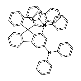 c1ccc(N(c2ccccc2)c2cc3c(c(N(c4ccccc4)c4ccccc4)c2)C2(c4ccccc4-c4cc5ccccc5cc42)c2ccccc2-3)cc1